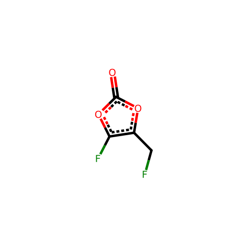 O=c1oc(F)c(CF)o1